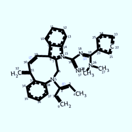 C=C/C(=C\C)N1Cc2c(c3ccccc3n2C(=N)/N=C(/c2ccccc2)N(C)C)/C=C\C(=C)c2ccccc21